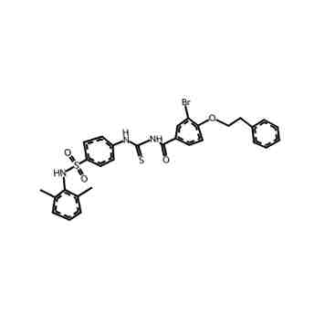 Cc1cccc(C)c1NS(=O)(=O)c1ccc(NC(=S)NC(=O)c2ccc(OCCc3ccccc3)c(Br)c2)cc1